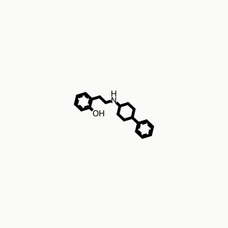 Oc1ccccc1CCNC1CCC(c2ccccc2)CC1